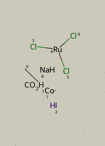 CC(=O)O.I.[Cl][Ru]([Cl])[Cl].[Co].[NaH]